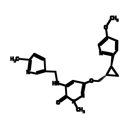 COc1ccc([C@H]2C[C@@H]2COc2cc(NCc3ccc(C)nc3)c(=O)n(C)n2)nc1